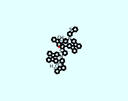 CC1(C)c2ccccc2-c2cccc(-c3ccc(N(c4ccc5c(c4)C4(c6ccccc6-c6cc(-c7cccc8sc9c(N(c%10ccc(-c%11cccc%12c%11C(C)(C)c%11ccccc%11-%12)cc%10)c%10ccc%11c(c%10)C%10(c%12ccccc%12-c%12ccccc%12%10)c%10ccccc%10-%11)cccc9c78)ccc64)c4ccccc4-5)c4ccc5sc6ccccc6c5c4)cc3)c21